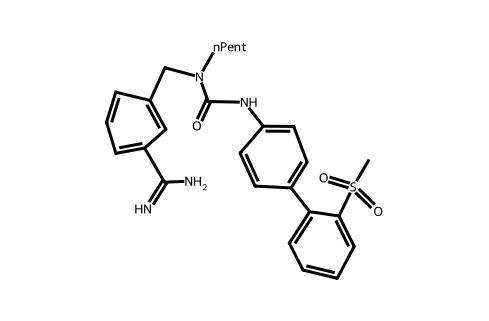 CCCCCN(Cc1cccc(C(=N)N)c1)C(=O)Nc1ccc(-c2ccccc2S(C)(=O)=O)cc1